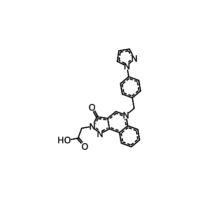 O=C(O)Cn1nc2c3ccccc3n(Cc3ccc(-n4cccn4)cc3)cc-2c1=O